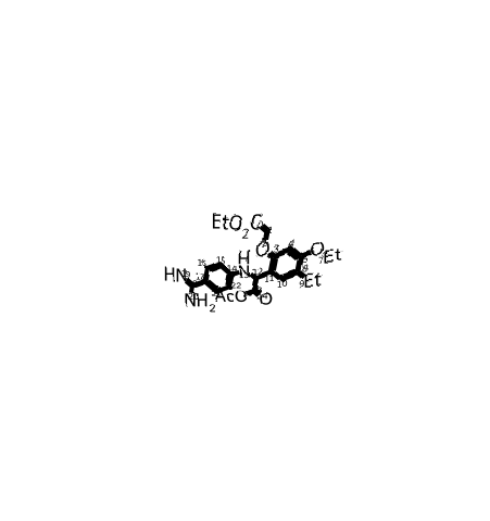 CCOC(=O)COc1cc(OCC)c(CC)cc1C(Nc1ccc(C(=N)N)cc1)C(=O)OC(C)=O